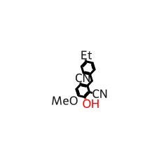 CCc1ccc(Cc2c(C#N)cc(OC)c(O)c2C#N)cc1